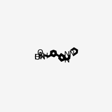 O=[SH](=O)NCCc1cccc(-c2ccc3ncc(N4CCCCC4)nc3c2)c1